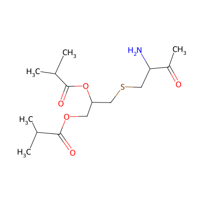 CC(=O)C(N)CSCC(COC(=O)C(C)C)OC(=O)C(C)C